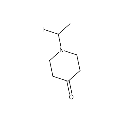 CC(I)N1CCC(=O)CC1